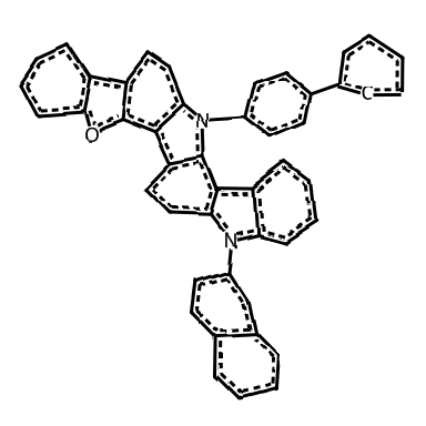 c1ccc(-c2ccc(-n3c4ccc5c6ccccc6oc5c4c4ccc5c(c6ccccc6n5-c5ccc6ccccc6c5)c43)cc2)cc1